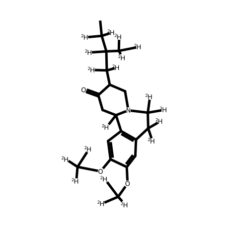 [2H]C([2H])([2H])Oc1cc2c(cc1OC([2H])([2H])[2H])C([2H])([2H])C([2H])([2H])N1CC(C([2H])([2H])C([2H])(C([2H])([2H])[2H])C([2H])([2H])C)C(=O)CC21[2H]